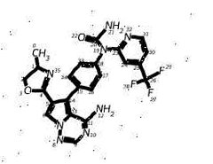 CC1COC(c2cn3ncnc(N)c3c2-c2ccc(N(C(N)=O)c3cc(C(F)(F)F)ccn3)cc2)=N1